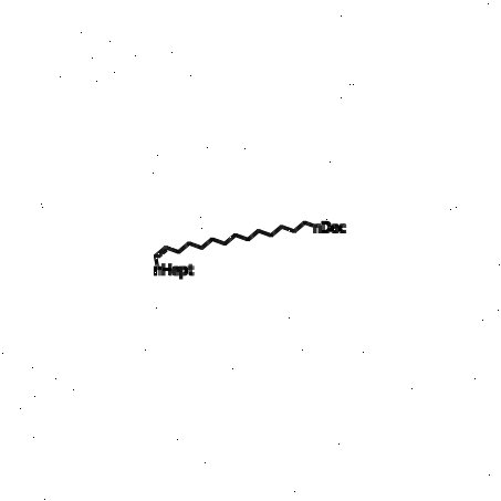 CCCCCCC/C=C\CCCCCCCCCCCCCCCCCCCCCC